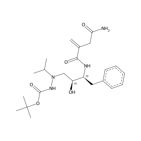 C=C(CC(N)=O)C(=O)N[C@@H](Cc1ccccc1)[C@@H](O)CN(NC(=O)OC(C)(C)C)C(C)C